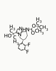 CC(C)(C)OC(=O)N[C@@H]1CC[C@@H](c2cccc(F)c2F)Cn2c(C(C)(C)O)cnc21